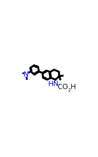 CN(C)c1cccc(-c2ccc3c(c2)CCC(C)(C)C3NC(=O)O)c1